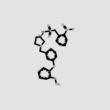 COc1ccccc1Oc1cccc(CN2CC[C@@H](NS(=O)(=O)Cc3ccccc3[N+](=O)[O-])C2)c1